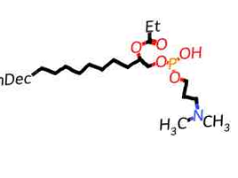 CCCCCCCCCCCCCCCCCCC(COP(O)OCCCN(C)C)OC(=O)CC